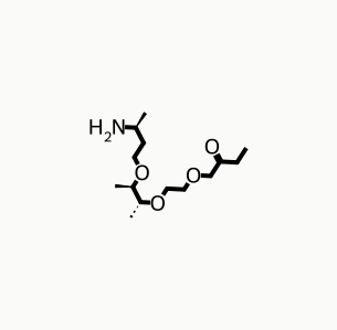 CCC(=O)COCCO[C@H](C)[C@@H](C)OCC[C@H](C)N